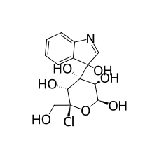 OC[C@@]1(Cl)O[C@H](O)[C@H](O)[C@](O)(C2(O)C=Nc3ccccc32)[C@H]1O